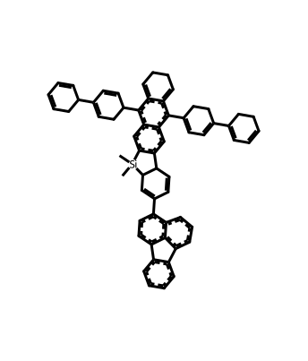 C[Si]1(C)c2cc3c(C4C=CC(C5C=CC=CC5)=CC4)c4c(c(C5=CC=C(C6=CC=CCC6)CC5)c3cc2C2C=CC(c3ccc5c6c(cccc36)-c3ccccc3-5)=CC21)=CCCC=4